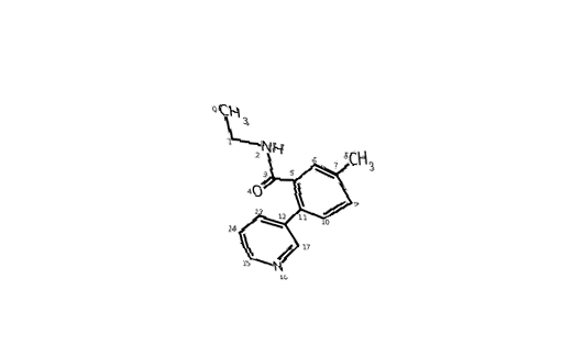 CCNC(=O)c1cc(C)ccc1-c1cccnc1